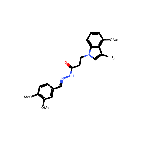 COc1ccc(C=NNC(=O)CCn2cc(C)c3c(OC)cccc32)cc1OC